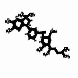 COc1cc(N(C)CCN(C)C)c([N+](=O)[O-])cc1Nc1cc(N2CC(C)(C)c3nc(C)c(C)cc32)ncn1